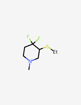 CCSC1CN(C)CCC1(F)F